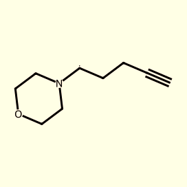 C#CCC[CH]N1CCOCC1